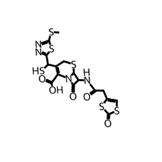 CSc1nnc(C(S)C2=C(C(=O)O)N3C(=O)C(NC(=O)Cc4csc(=O)s4)C3SC2)s1